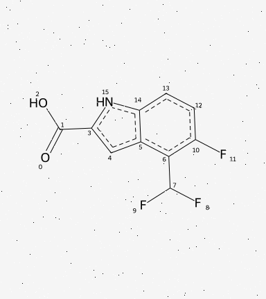 O=C(O)c1cc2c(C(F)F)c(F)ccc2[nH]1